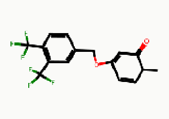 CC1C=CC(OCc2ccc(C(F)(F)F)c(C(F)(F)F)c2)=CC1=O